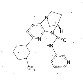 O=C(Nc1cccnc1)N1c2nc(C3CCCC(C(F)(F)F)C3)ccc2N2CC[C@H]1C2